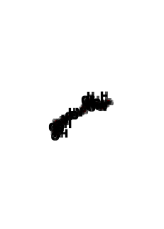 NC(=O)c1nn(-c2ccc(CNCCOCCOCCN3CCC(Nc4cccc5c4C(=O)N(C4CCC(=O)NC4=O)C5=O)CC3)cc2)cc1NC(=O)c1coc(-c2ccnc(NCC3CC3)c2)n1